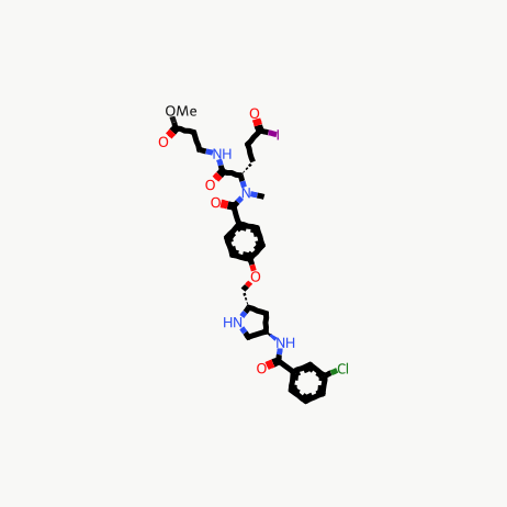 COC(=O)CCNC(=O)[C@H](CCC(=O)I)N(C)C(=O)c1ccc(OC[C@@H]2C[C@@H](NC(=O)c3cccc(Cl)c3)CN2)cc1